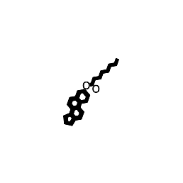 CCCCCCCC(=O)OC1=CCc2c(ccc3c4c(ccc23)=CC=C4)=C1